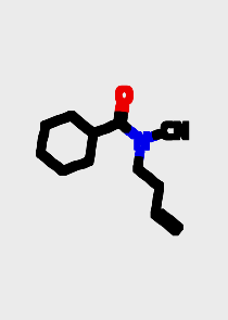 C=CCCN(C#N)C(=O)C1CCCCC1